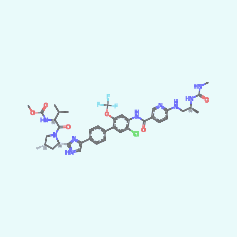 CNC(=O)N[C@@H](C)CNc1ccc(C(=O)Nc2cc(OC(F)(F)F)c(-c3ccc(-c4c[nH]c([C@@H]5C[C@H](C)CN5C(=O)[C@@H](NC(=O)OC)C(C)C)n4)cc3)cc2Cl)cn1